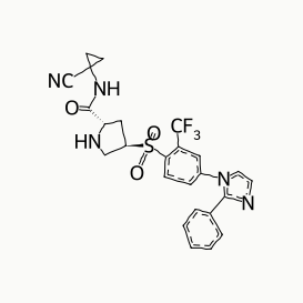 N#CC1(NC(=O)[C@@H]2C[C@@H](S(=O)(=O)c3ccc(-n4ccnc4-c4ccccc4)cc3C(F)(F)F)CN2)CC1